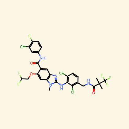 Cn1c(Nc2c(Cl)ccc(CNC(=O)C(C)(C)C(F)(F)F)c2Cl)nc2cc(C(=O)Nc3ccc(F)c(Cl)c3)c(OCC(F)F)cc21